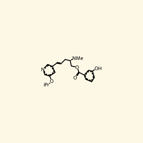 CN[C@H](C/C=C/c1cncc(OC(C)C)c1)COC(=O)c1cccc(O)c1